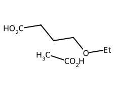 CC(=O)O.CCOCCCC(=O)O